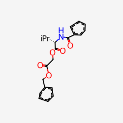 CC(C)[C@H](NC(=O)c1ccccc1)C(=O)OCC(=O)OCc1ccccc1